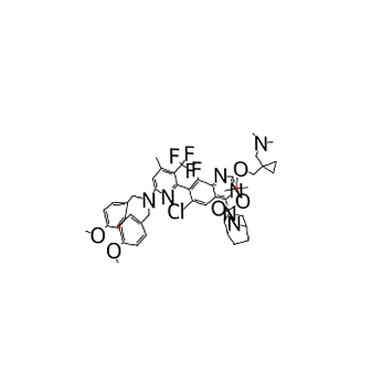 COc1ccc(CN(Cc2ccc(OC)cc2)c2cc(C)c(C(F)(F)F)c(-c3c(Cl)cc4c(N5CC6CCC(C5)N6C(=O)OC(C)(C)C)nc(OCC5(CN(C)C)CC5)nc4c3F)n2)cc1